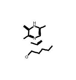 C=C1NC(C)=CN=C1C.C=CC.CCCCC[O]